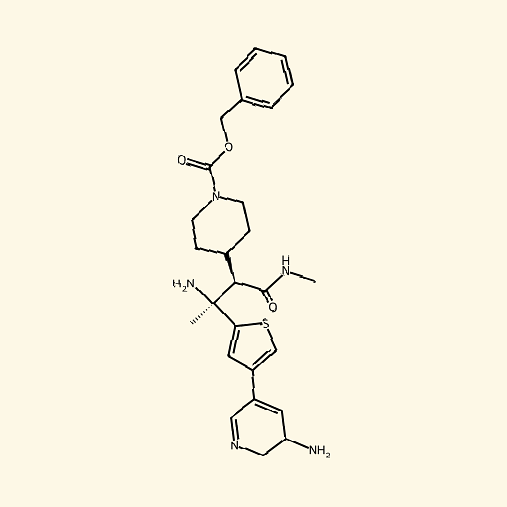 CNC(=O)[C@H](C1CCN(C(=O)OCc2ccccc2)CC1)[C@](C)(N)c1cc(C2=CC(N)CN=C2)cs1